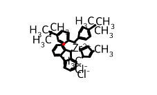 CC1=CC(C)[C]([Zr+2](=[C](c2ccc(C(C)(C)C)cc2)c2ccc(C(C)(C)C)cc2)[CH]2c3ccccc3-c3ccccc32)=C1.[Cl-].[Cl-]